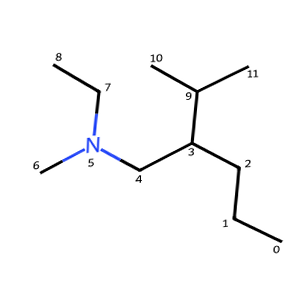 CCCC(CN(C)CC)C(C)C